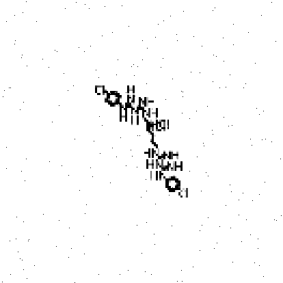 Cl.Cl.N=C(NCCCCCCNC(=N)NC(=N)Nc1ccc(Cl)cc1)NC(=N)Nc1ccc(Cl)cc1